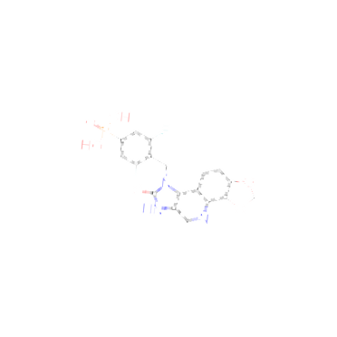 O=c1[nH]c2cnc3c4c(ccc3c2n1Cc1c(F)cc(P(=O)(O)O)cc1F)OCO4